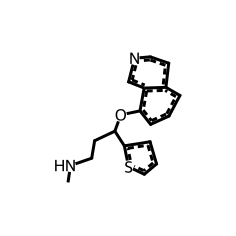 CNCCC(Oc1cccc2ccncc12)c1cccs1